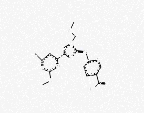 COCn1cc(-c2cc(C)nc(SC)n2)s/c1=N\c1ccc(C(=O)O)cn1